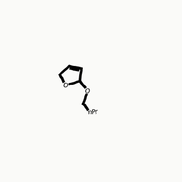 CCCCOC1C=CCO1